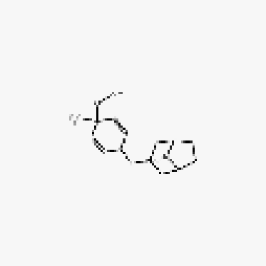 CCCOC1(C(F)(F)F)C=CC(OC2CC3CCC(C2)N3C)C=C1